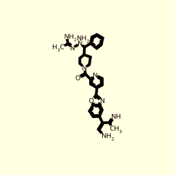 CC(=N)/C(=C\N)c1ccc2oc(-c3ccnc(C(=O)N4CCC(C(c5ccccc5)N(N)/N=C(/C)N)CC4)c3)nc2c1